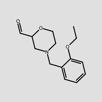 CCOc1ccccc1CN1CCOC(C=O)C1